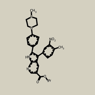 Cc1ccc(-c2c(-c3ccc(N4CCN(C)CC4)cc3)[nH]c3ncc(C(=O)OC(C)C)cc23)cc1[N+](=O)[O-]